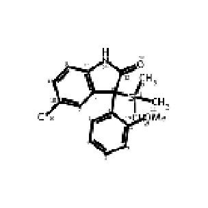 COc1ccccc1C1([Si](C)(C)C)C(=O)Nc2ccc(Cl)cc21